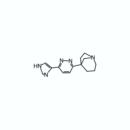 c1nc(-c2ccc(C34CCCN(CC3)C4)nn2)c[nH]1